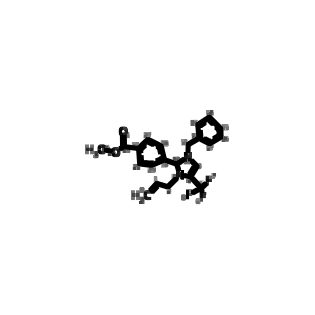 C=CCN1C(C(F)(F)F)=CN(Cc2ccccc2)C1c1ccc(C(=O)OC)cc1